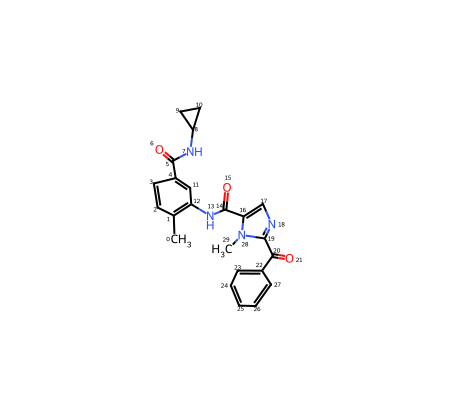 Cc1ccc(C(=O)NC2CC2)cc1NC(=O)c1cnc(C(=O)c2ccccc2)n1C